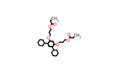 C=CC(=O)OCCCOc1cc(OCCCOC(=O)C=C)c(C2CCCCC2)cc1C1CCCCC1